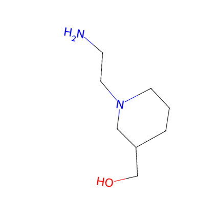 NCCN1CCCC(CO)C1